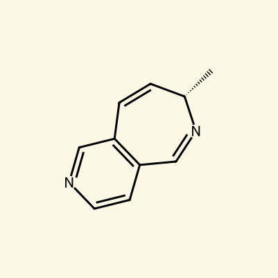 C[C@H]1C=Cc2cnccc2C=N1